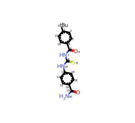 CC(C)(C)c1ccc(C(=O)NC(=S)Nc2ccc(C(N)=O)cc2)cc1